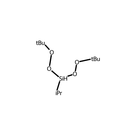 CC(C)[SiH](OOC(C)(C)C)OOC(C)(C)C